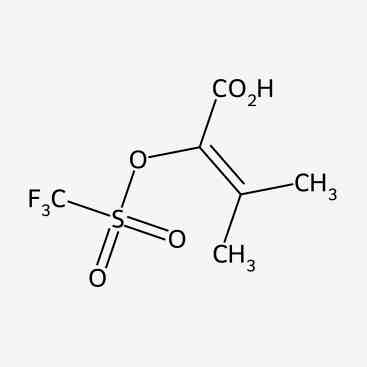 CC(C)=C(OS(=O)(=O)C(F)(F)F)C(=O)O